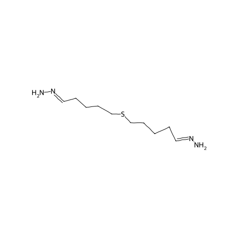 NN=CCCCCSCCCCC=NN